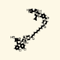 CC(C)(C)[C@@H](CS(=O)(=O)N1CCN(C(=O)CCCCCCCCCC(=O)N2CCN(C(=O)c3ccc(Nc4nc(C5CC5)cn5c(-c6cn[nH]c6)cnc45)c(F)c3)CC2)CC1)N1C(=O)[C@]2(C=C(O)C2)C[C@H](c2cccc(Cl)c2)[C@H]1c1ccc(Cl)cc1